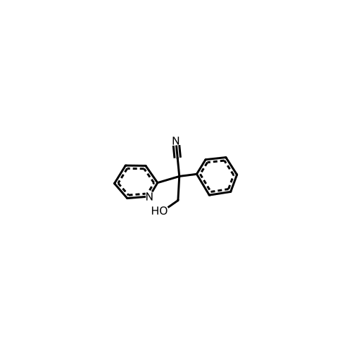 N#CC(CO)(c1ccccc1)c1ccccn1